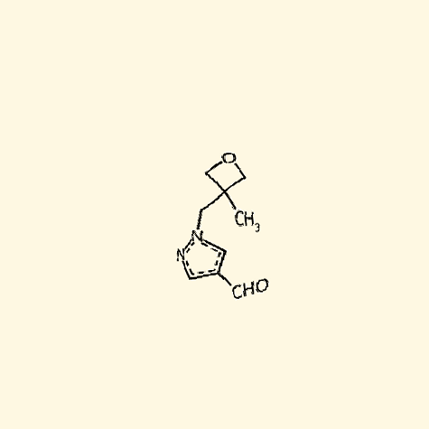 CC1(Cn2cc(C=O)cn2)COC1